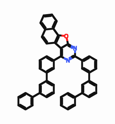 c1ccc(-c2cccc(-c3cccc(-c4nc(-c5cccc(-c6cccc(-c7ccccc7)c6)c5)c5c(n4)oc4c6ccccc6ccc45)c3)c2)cc1